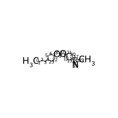 CCCC[C@H]1CC[C@H](OCO[C@H]2CC[C@@](C#N)(CCC)CC2)CC1